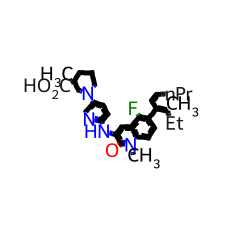 CCC/C=C\C(=C(/C)CC)c1ccc2c(cc(Nc3ccc(N4CCCC(C)(C(=O)O)C4)cn3)c(=O)n2C)c1F